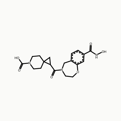 O=C(NO)c1ccc2c(c1)OCCN(C(=O)C1CC13CCN(C(=O)O)CC3)C2